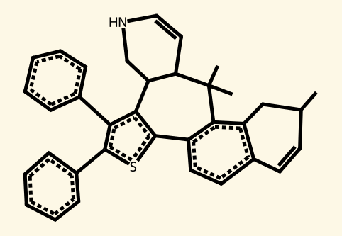 CC1C=Cc2ccc3c(c2C1)C(C)(C)C1C=CNCC1c1c-3sc(-c2ccccc2)c1-c1ccccc1